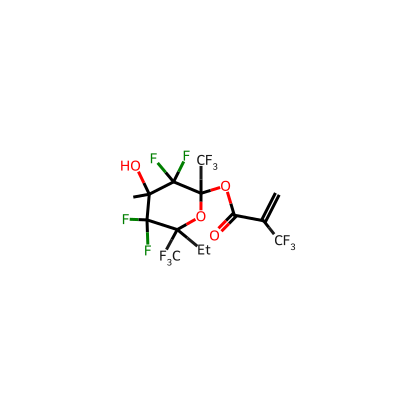 C=C(C(=O)OC1(C(F)(F)F)OC(CC)(C(F)(F)F)C(F)(F)C(C)(O)C1(F)F)C(F)(F)F